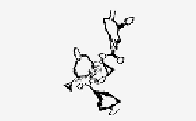 O=C1CN(C(=O)OC2([C@H]3COC[C@@H](C4CC4)N3S(=O)(=O)c3ccc(Cl)cc3)CC2)CCN1